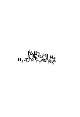 COc1cc(F)nc(N2CCc3nc(-c4ncccn4)ncc3C2OC)c1